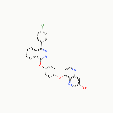 Oc1cnc2c(Oc3ccc(Oc4nnc(-c5ccc(Cl)cc5)c5ccccc45)cc3)ccnc2c1